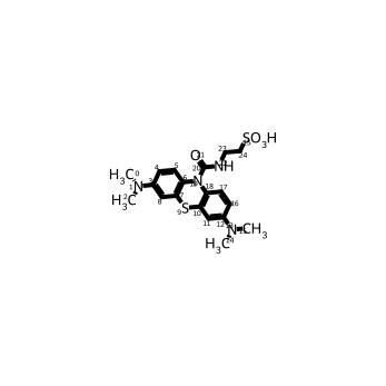 CN(C)c1ccc2c(c1)Sc1cc(N(C)C)ccc1N2C(=O)NCCS(=O)(=O)O